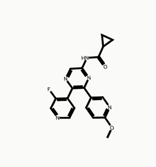 COc1ccc(-c2nc(NC(=O)C3CC3)cnc2-c2ccncc2F)cn1